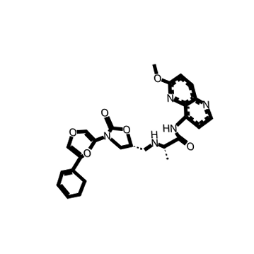 COc1ccc2nccc(NC(=O)[C@H](C)NC[C@@H]3CN(C4=COC=C(C5=CC=CCC5)O4)C(=O)O3)c2n1